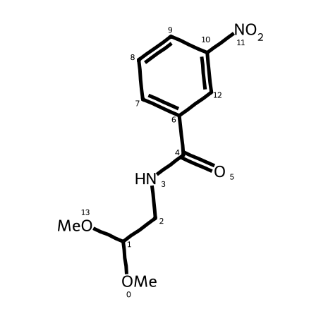 COC(CNC(=O)c1cccc([N+](=O)[O-])c1)OC